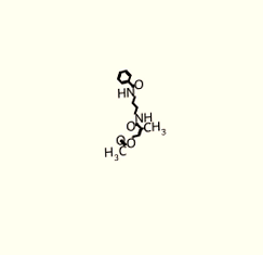 CC(=O)OC/C=C(/C)C(=O)NCCCCNC(=O)c1ccccc1